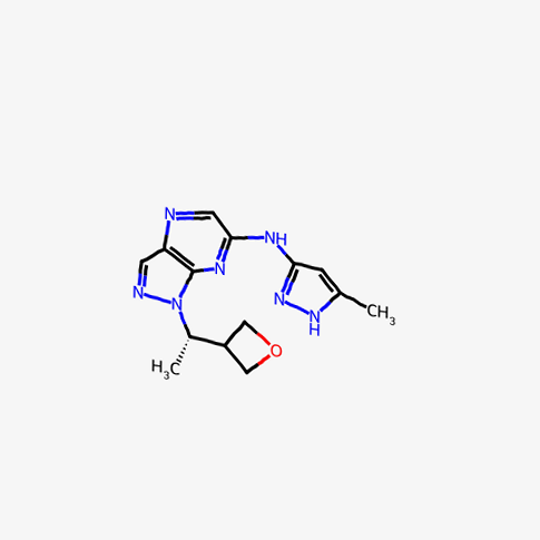 Cc1cc(Nc2cnc3cnn([C@@H](C)C4COC4)c3n2)n[nH]1